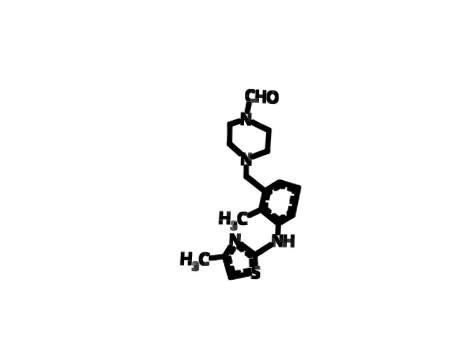 Cc1csc(Nc2cccc(CN3CCN(C=O)CC3)c2C)n1